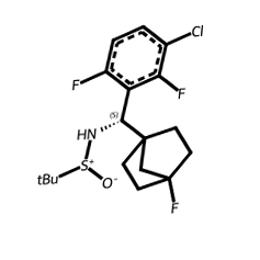 CC(C)(C)[S+]([O-])N[C@H](c1c(F)ccc(Cl)c1F)C12CCC(F)(CC1)C2